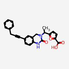 CC(c1ccc(C(=O)O)o1)N1Cc2cc(C#CCc3ccccc3)ccc2NC1=O